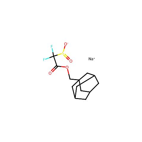 O=C(OCC12CC3CC(CC(C3)C1)C2)C(F)(F)S(=O)[O-].[Na+]